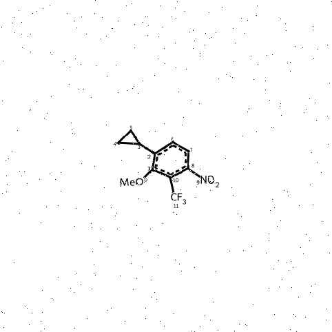 COc1c(C2CC2)ccc([N+](=O)[O-])c1C(F)(F)F